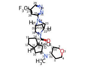 CO[C@@H]1COCC[C@@H]1N(C)[C@@H]1C[C@H]2CCC[C@@]2(C(=O)N2C[C@@H]3C[C@H]2CN3c2cc(C(F)(F)F)cnn2)C1